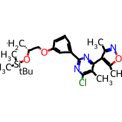 [CH2][C@H](COc1cccc(-c2nc(Cl)c(C)c(-c3c(C)noc3C)n2)c1)O[Si](C)(C)C(C)(C)C